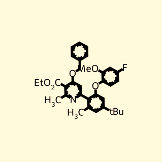 CCOC(=O)c1c(OCc2ccccc2)cc(-c2c(C)cc(C(C)(C)C)cc2Oc2ccc(F)cc2OC)nc1C